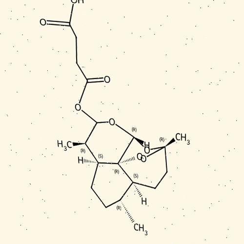 C[C@@H]1CC[C@H]2[C@@H](C)C(OC(=O)CCC(=O)O)O[C@@H]3O[C@@]4(C)CC[C@@H]1[C@]32OO4